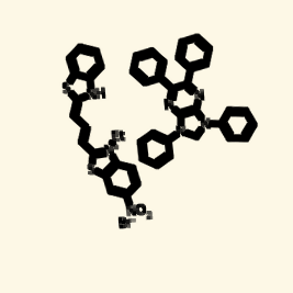 CC[n+]1c(C=CC=C2Nc3ccccc3S2)sc2cc([N+](=O)[O-])ccc21.[Br-].c1ccc(-c2nc3c(nc2-c2ccccc2)N(c2ccccc2)CN3c2ccccc2)cc1